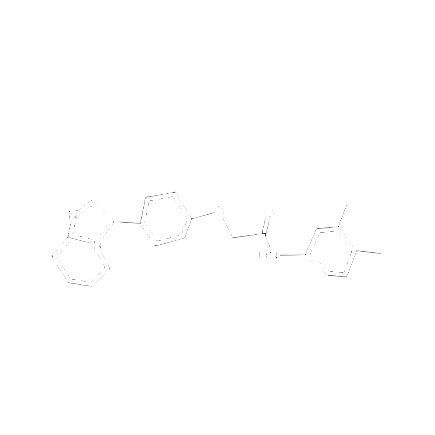 Cc1ccc(NC(=O)COc2ccc(-c3cnc4ccccn34)cc2)cc1C